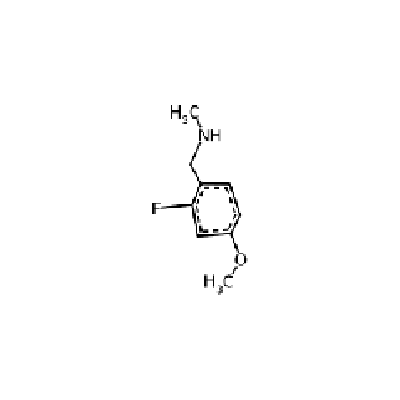 CNCc1ccc(OC)cc1F